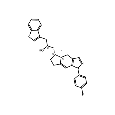 C[C@]12Cc3cnn(-c4ccc(F)cc4)c3C=C1CC[C@@H]2C[C@@H](O)Cc1csc2ccccc12